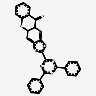 O=C1c2ccccc2OC2C=c3sc(-c4nc(-c5ccccc5)nc(-c5ccccc5)n4)nc3=CC12